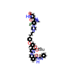 Cc1c(O[C@H]2CC[C@H](CCCCN3CCN(c4cc5c(cc4F)c(C4CCC(=O)NC4=O)nn5C)CC3)CC2)cccc1-c1ccc(N2CCc3cccc(C(=O)Nc4nc5ccccc5s4)c3C2)nc1C(=O)OC(C)(C)C